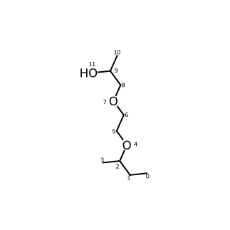 CCC(C)OCCOCC(C)O